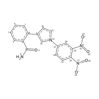 NC(=O)c1ccccc1-c1ccn(-c2ccc([N+](=O)[O-])c([N+](=O)[O-])c2)c1